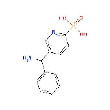 NC(c1ccccc1)c1ccc(P(=O)(O)O)nc1